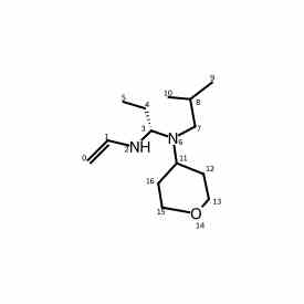 C=CN[C@H](CC)N(CC(C)C)C1CCOCC1